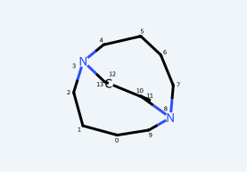 C1CCN2CCCCN(C1)CCCC2